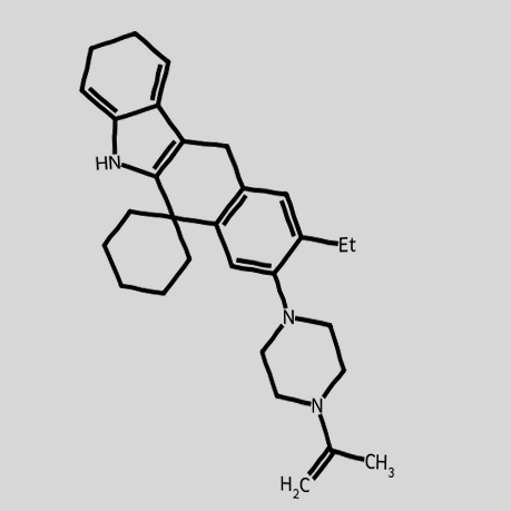 C=C(C)N1CCN(c2cc3c(cc2CC)Cc2c([nH]c4c2=CCCC=4)C32CCCCC2)CC1